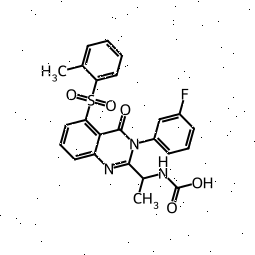 Cc1ccccc1S(=O)(=O)c1cccc2nc(C(C)NC(=O)O)n(-c3cccc(F)c3)c(=O)c12